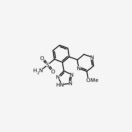 COC1=NC(c2cccc(S(N)(=O)=O)c2-c2nn[nH]n2)CN=C1